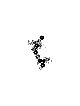 CCCN(C)CC[C@H](CSc1ccccc1)Nc1ccc(S(=O)(=O)Nc2ccc(N3CCN(c4cc(F)cc(-c5c(C(=O)O)c(C)n(CC)c5-c5ccc(Cl)cc5)c4)CC3)cc2)cc1S(=O)(=O)C(F)(F)F